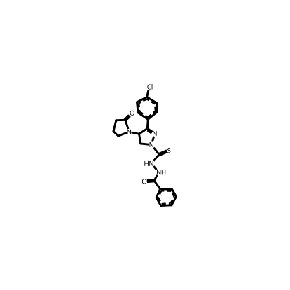 O=C(NNC(=S)N1CC(N2CCCC2=O)C(c2ccc(Cl)cc2)=N1)c1ccccc1